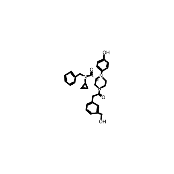 O=C(Cc1cccc(CO)c1)N1CCN(c2ccc(O)cc2)[C@@H](C(=O)N(Cc2ccccc2)C2CC2)C1